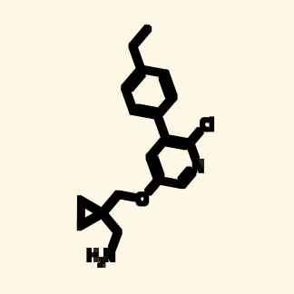 CCc1ccc(-c2cc(OCC3(CN)CC3)cnc2Cl)cc1